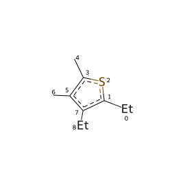 CCc1sc(C)c(C)c1CC